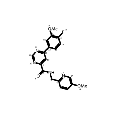 COc1ccc(CNC(=O)c2cc(-c3ccc(F)c(OC)c3)ncn2)nc1